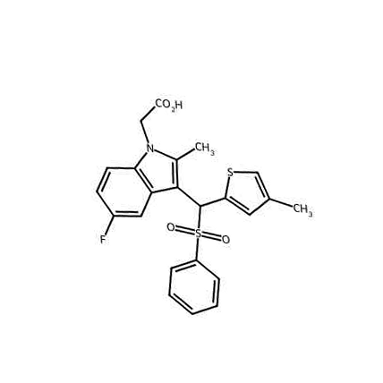 Cc1csc(C(c2c(C)n(CC(=O)O)c3ccc(F)cc23)S(=O)(=O)c2ccccc2)c1